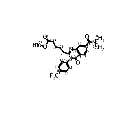 CN(C)C(=O)c1ccc2c(=O)n(-c3ccc(C(F)(F)F)cc3)c(CCCCC(=O)OC(C)(C)C)nc2c1